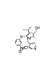 Cc1c(CO)c(C(C)C)c(Sc2cccc([N+](=O)[O-])c2)n1Cc1ccncc1